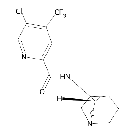 O=C(N[C@@H]1CC2CCN(CC2)C1)c1cc(C(F)(F)F)c(Cl)cn1